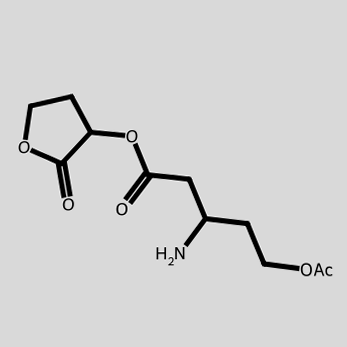 CC(=O)OCCC(N)CC(=O)OC1CCOC1=O